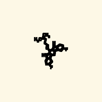 CN(C)CCCOc1c2[nH]c3ccc(F)cc3c2cc2c1[nH]c1ccc(F)cc12